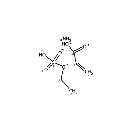 C=CC(=O)O.CCOS(=O)(=O)O.N